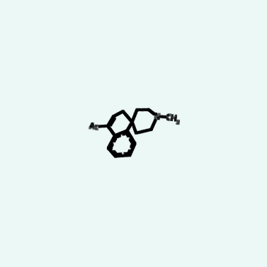 CC(=O)C1=CCC2(CCN(C)CC2)c2ccccc21